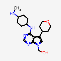 CNC1CCC(Nc2ncnc3c2c(C2CCOCC2)cn3CO)CC1